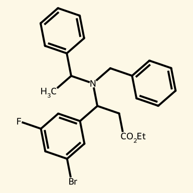 CCOC(=O)CC(c1cc(F)cc(Br)c1)N(Cc1ccccc1)C(C)c1ccccc1